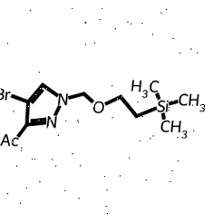 CC(=O)c1nn(COCC[Si](C)(C)C)cc1Br